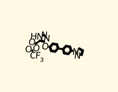 O=C(OC(=O)C(F)(F)F)c1[nH]nnc1Oc1ccc(-c2ccc(-n3cccn3)cc2)cc1